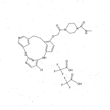 CNC(=O)N1CCN(C(=O)COc2ccc3cc2CCc2cncc(c2)Nc2ncc(Cl)c(n2)N3)CC1.O=C(O)C(F)(F)F.O=C(O)C(F)(F)F